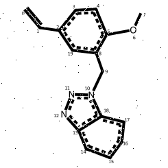 C=Cc1ccc(OC)c(Cn2nnc3ccccc32)c1